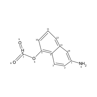 Nc1ccc2c(O[SH](=O)=O)cccc2c1